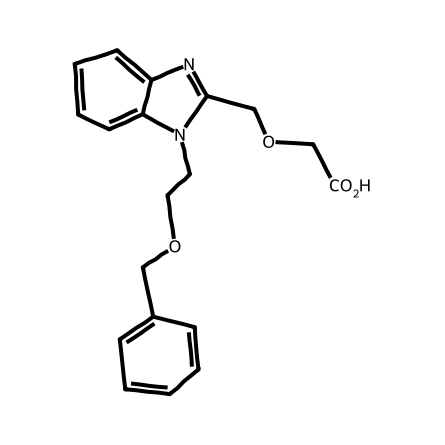 O=C(O)COCc1nc2ccccc2n1CCOCc1ccccc1